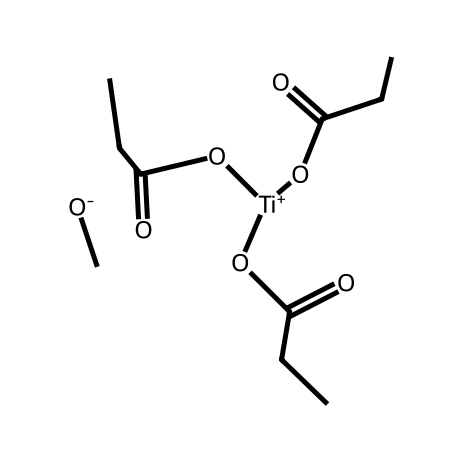 CCC(=O)[O][Ti+]([O]C(=O)CC)[O]C(=O)CC.C[O-]